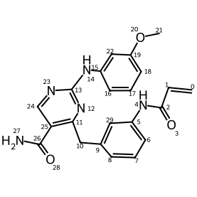 C=CC(=O)Nc1cccc(Cc2nc(Nc3cccc(OC)c3)ncc2C(N)=O)c1